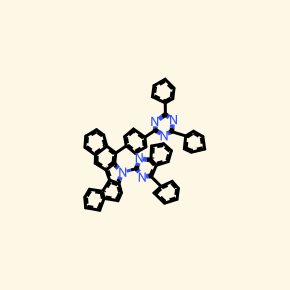 c1ccc(-c2nc(-c3ccccc3)nc(-c3ccc(-c4c5ccccc5cc5c6c7ccccc7ccc6n(-c6nc(-c7ccccc7)c7ccccc7n6)c45)cc3)n2)cc1